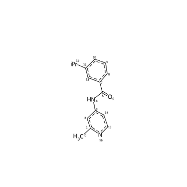 Cc1cc(NC(=O)c2cccc(C(C)C)c2)ccn1